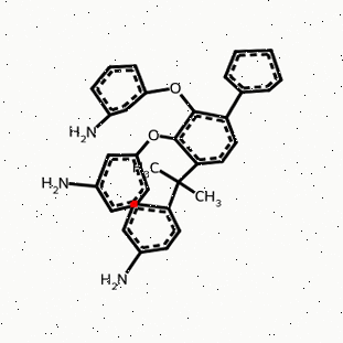 CC(C)(c1ccc(N)cc1)c1ccc(-c2ccccc2)c(Oc2cccc(N)c2)c1Oc1cccc(N)c1